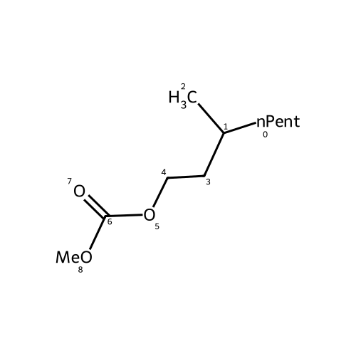 CCCCCC(C)CCOC(=O)OC